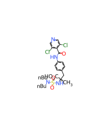 CCCCN(CCCC)S(=O)(=O)N[C@@](C)(Cc1ccc(NC(=O)c2c(Cl)cncc2Cl)cc1)C(=O)O